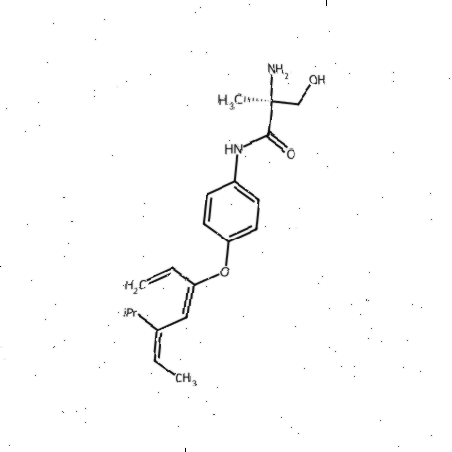 C=C/C(=C\C(=C/C)C(C)C)Oc1ccc(NC(=O)[C@@](C)(N)CO)cc1